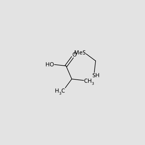 CC(C)C(=O)O.CSCS